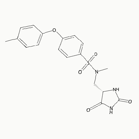 Cc1ccc(Oc2ccc(S(=O)(=O)N(C)C[C@@H]3NC(=O)NC3=O)cc2)cc1